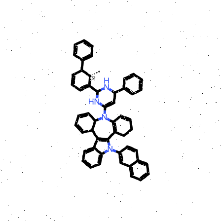 C[C@@H]1C(C2NC(N3C4=C(CCC=C4)c4c(c5ccccc5n4-c4ccc5ccccc5c4)C4C=CC=CC43)=CC(c3ccccc3)N2)=CC=CC1c1ccccc1